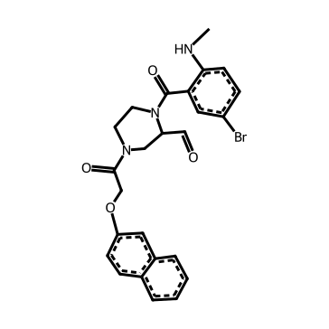 CNc1ccc(Br)cc1C(=O)N1CCN(C(=O)COc2ccc3ccccc3c2)CC1C=O